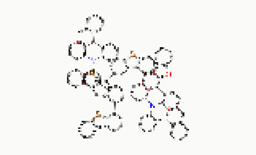 c1cc(-c2cccc(N(c3ccccc3-c3cccc4ccccc34)c3ccccc3-c3cccc4c3sc3c(-c5ccc6sc7cccc(-c8cccc(N(c9ccccc9-c9cccc%10ccccc9%10)c9ccccc9-c9cccc%10c9oc9ccccc9%10)c8)c7c6c5)cccc34)c2)cc(-c2cccc3c2sc2ccccc23)c1